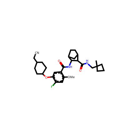 COc1cc(F)c(OC2CCC(CC#N)CC2)cc1C(=O)NC1C2CCC(C2)C1C(=O)NCC1(C)CCC1